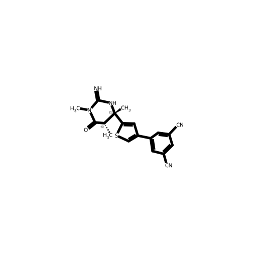 C[C@@H]1C(=O)N(C)C(=N)N[C@]1(C)c1cc(-c2cc(C#N)cc(C#N)c2)cs1